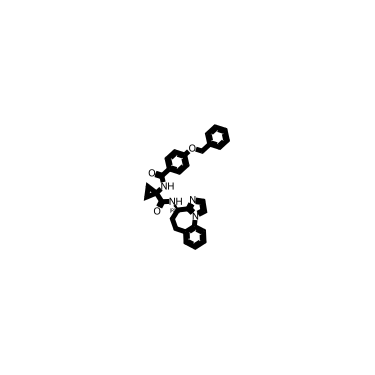 O=C(NC1(C(=O)N[C@@H]2CCc3ccccc3-n3ccnc32)CC1)c1ccc(OCc2ccccc2)cc1